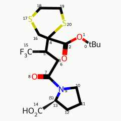 CC(C)(C)OC(=O)C1(C(CC(=O)N2CCC[C@H]2C(=O)O)C(F)(F)F)CSCCS1